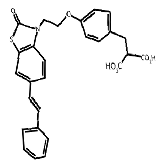 O=C(O)C(Cc1ccc(OCCn2c(=O)sc3cc(/C=C/c4ccccc4)ccc32)cc1)C(=O)O